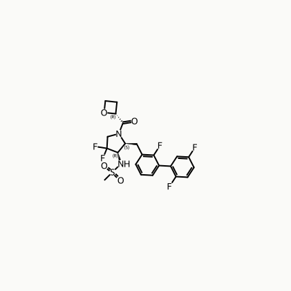 CS(=O)(=O)N[C@@H]1[C@H](Cc2cccc(-c3cc(F)ccc3F)c2F)N(C(=O)[C@H]2CCO2)CC1(F)F